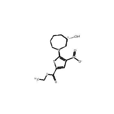 CCOC(=O)c1cc([N+](=O)[O-])c(N2CCCC[C@H](O)C2)s1